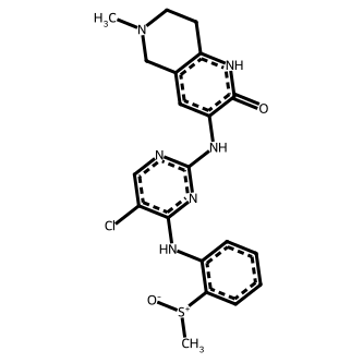 CN1CCc2[nH]c(=O)c(Nc3ncc(Cl)c(Nc4ccccc4[S+](C)[O-])n3)cc2C1